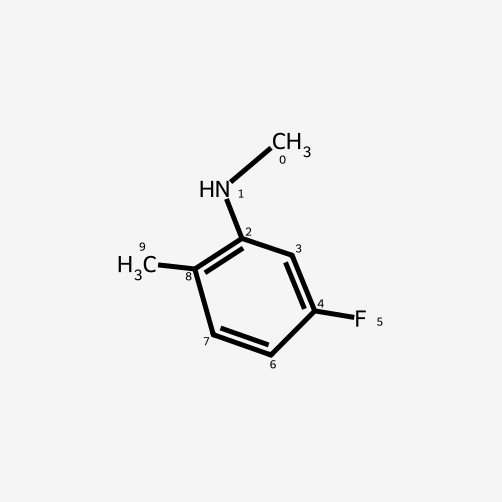 CNc1cc(F)ccc1C